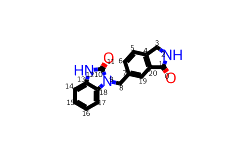 O=C1NCc2ccc(Cn3c(=O)[nH]c4ccccc43)cc21